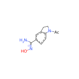 CC(=O)N1CCc2cc(/C(N)=N/O)ccc21